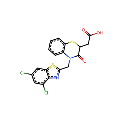 O=C(O)CC1Sc2ccccc2N(Cc2nc3c(Cl)cc(Cl)cc3s2)C1=O